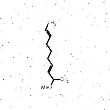 CC=CCCCC=CC(C)OC